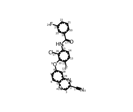 N#Cc1cnc2ccc(Oc3c(F)ccc(NC(=O)c4cccc(F)c4)c3Cl)cc2n1